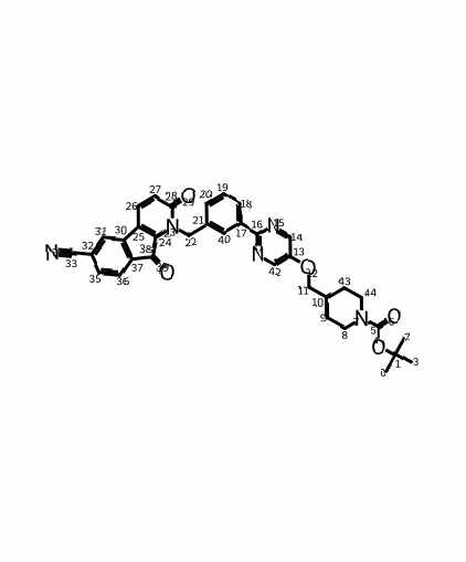 CC(C)(C)OC(=O)N1CCC(COc2cnc(-c3cccc(Cn4c5c(ccc4=O)-c4cc(C#N)ccc4C5=O)c3)nc2)CC1